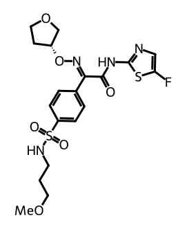 COCCCNS(=O)(=O)c1ccc(/C(=N\O[C@@H]2CCOC2)C(=O)Nc2ncc(F)s2)cc1